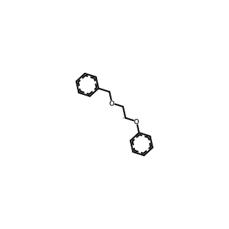 [CH](COCc1ccccc1)Oc1ccccc1